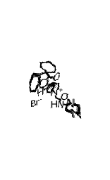 O=C(C[N+]12CCC(CC1)[C@@H](OC(=O)C1(c3ccccc3)CCCCC1)C2)Nc1cnccn1.[Br-]